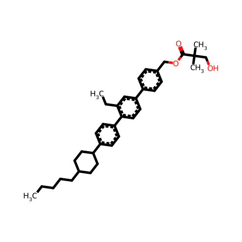 CCCCCC1CCC(c2ccc(-c3ccc(-c4ccc(COC(=O)C(C)(C)CO)cc4)cc3CC)cc2)CC1